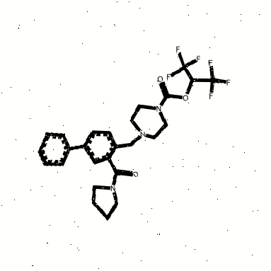 O=C(OC(C(F)(F)F)C(F)(F)F)N1CCN(Cc2ccc(-c3ccccc3)cc2C(=O)N2CCCC2)CC1